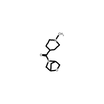 CN1CCC(C(=O)N2CC3CC2CO3)CC1